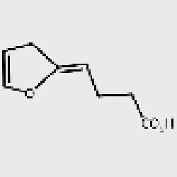 O=C(O)CCC=C1CC=CO1